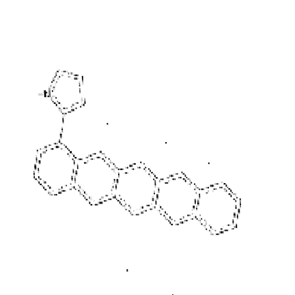 c1c[nH]c(-c2cccc3cc4cc5cc6ccccc6cc5cc4cc23)c1